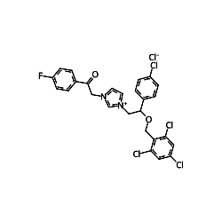 O=C(Cn1cc[n+](CC(OCc2c(Cl)cc(Cl)cc2Cl)c2ccc(Cl)cc2)c1)c1ccc(F)cc1.[Cl-]